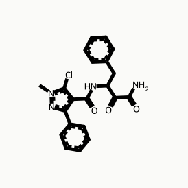 Cn1nc(-c2ccccc2)c(C(=O)NC(Cc2ccccc2)C(=O)C(N)=O)c1Cl